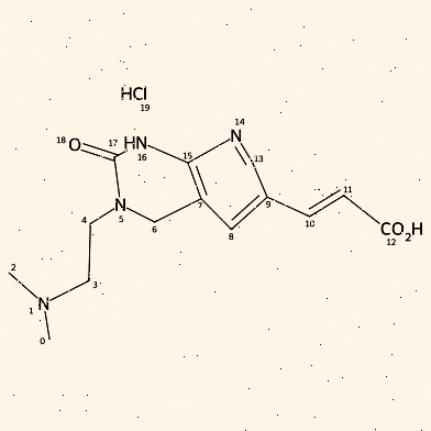 CN(C)CCN1Cc2cc(/C=C/C(=O)O)cnc2NC1=O.Cl